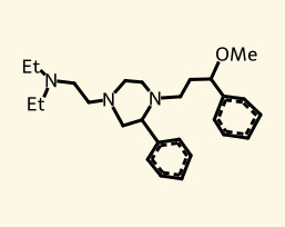 CCN(CC)CCN1CCN(CCC(OC)c2ccccc2)C(c2ccccc2)C1